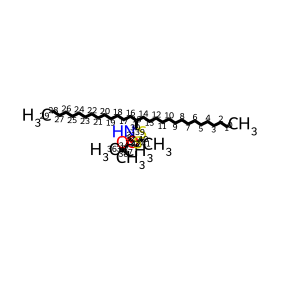 CCCCCCCCCCCCCCCC(CCCCCCCCCCCCCC)C(NC(=O)OC(C)(C)C)SC(C)=S